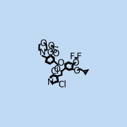 CS(=O)(=O)Oc1cc(C(=O)OC(Cc2c(Cl)cncc2Cl)c2ccc(OC(F)F)c(OCC3CC3)c2)ccc1CN1CCOCC1